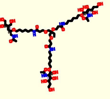 CCC(COCCC(=O)NCCCCCCO[C@H](/C=C(\CO)[C@H](O)CO)CNC(C)=O)(COCCC(=O)NCCCCCCO[C@H](O)/C(NC(C)=O)=C(\O)[C@@H](O)CCO)OCCC(=O)NCCCCCCO[C@H](O)/C(NC(C)=O)=C(\O)[C@@H](O)CCO